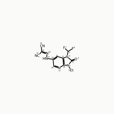 CCn1c(=O)n(C(F)F)c2cc(NN=C(C#N)C#N)cnc21